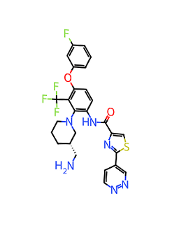 NC[C@@H]1CCCN(c2c(NC(=O)c3csc(-c4ccnnc4)n3)ccc(Oc3cccc(F)c3)c2C(F)(F)F)C1